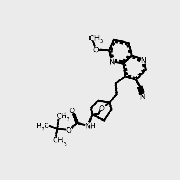 COc1ccc2ncc(C#N)c(CCC34CCC(NC(=O)OC(C)(C)C)(CC3)CO4)c2n1